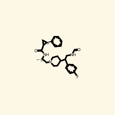 C[C@@H](CN1CCC(C(CNC=O)c2ccc(F)cc2)CC1)NC(=O)C1C[C@H]1c1ccccc1